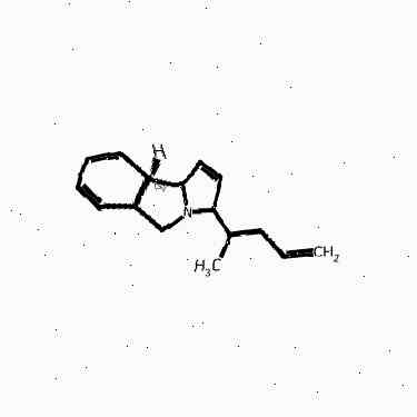 C=CCC(C)C1C=CC2[C@H]3C=CC=CC3CN12